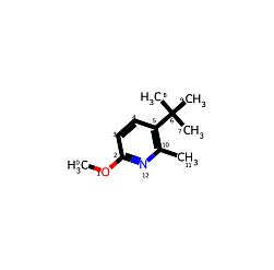 COc1ccc(C(C)(C)C)c(C)n1